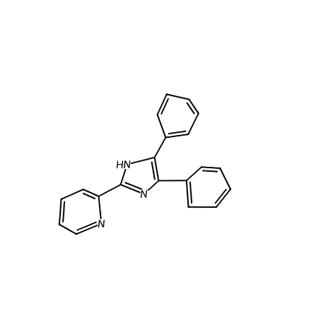 c1ccc(-c2nc(-c3ccccn3)[nH]c2-c2ccccc2)cc1